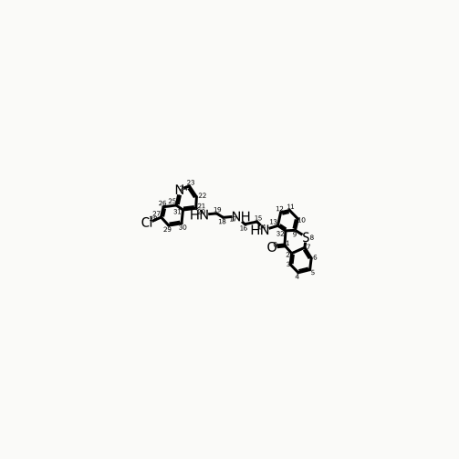 O=c1c2ccccc2sc2cccc(NCCNCCNc3ccnc4cc(Cl)ccc34)c12